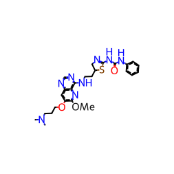 COc1nc2c(NCCC3CN=C(NC(=O)Nc4ccccc4)S3)ncnc2cc1OCCCN(C)C